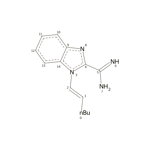 CCCC/C=C/n1c(C(=N)N)nc2ccccc21